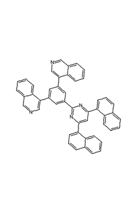 c1ccc2c(-c3cc(-c4nc(-c5cccc6ccccc56)cc(-c5cccc6ccccc56)n4)cc(-c4cncc5ccccc45)c3)cncc2c1